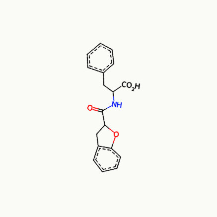 O=C(O)C(Cc1ccccc1)NC(=O)C1Cc2ccccc2O1